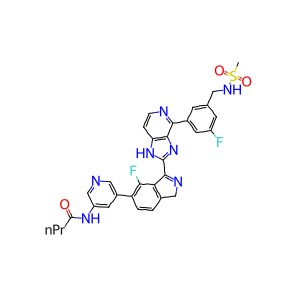 CCCC(=O)Nc1cncc(-c2ccc3c(c2F)C(c2nc4c(-c5cc(F)cc(CNS(C)(=O)=O)c5)nccc4[nH]2)=NC3)c1